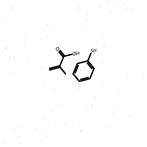 C=C(C)C(=O)O.[Sn][c]1ccccc1